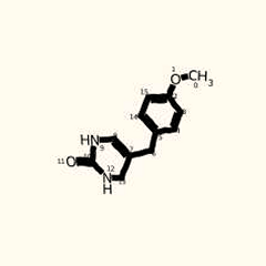 COc1ccc(CC2=CNC(=O)NC2)cc1